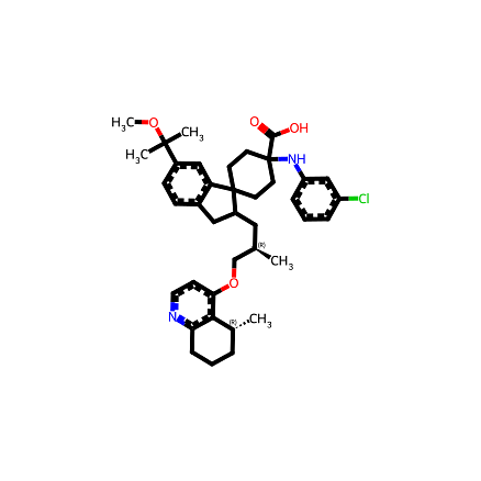 COC(C)(C)c1ccc2c(c1)C1(CCC(Nc3cccc(Cl)c3)(C(=O)O)CC1)C(C[C@@H](C)COc1ccnc3c1[C@H](C)CCC3)C2